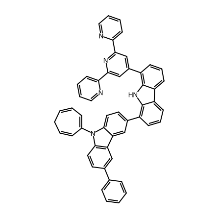 C1=CCC=CC(n2c3ccc(-c4ccccc4)cc3c3cc(-c4cccc5c4[nH]c4c(-c6cc(-c7ccccn7)nc(-c7ccccn7)c6)cccc45)ccc32)=C1